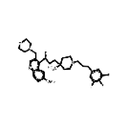 COc1ccc2ncc(CN3CCOCC3)c(C(F)CCC3(C(=O)O)CCN(CCCc4cc(F)c(F)c(F)c4)CC3)c2c1